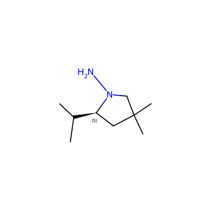 CC(C)[C@@H]1CC(C)(C)CN1N